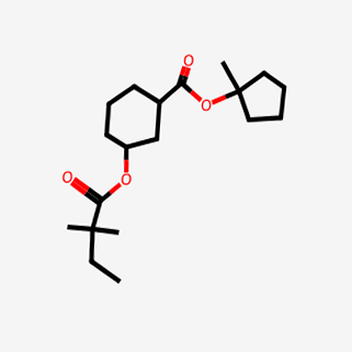 CCC(C)(C)C(=O)OC1CCCC(C(=O)OC2(C)CCCC2)C1